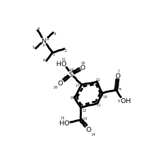 CC(C)[N+](C)(C)C.O=C(O)c1cc(C(=O)O)cc(S(=O)(=O)O)c1